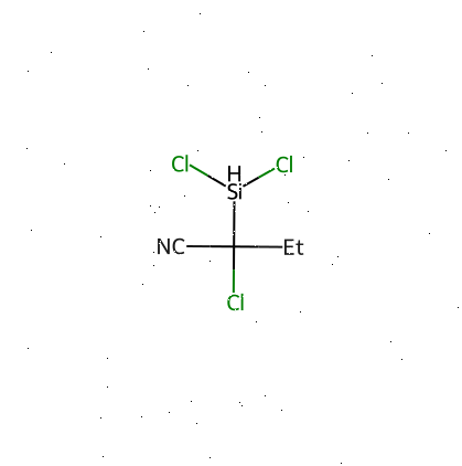 CCC(Cl)(C#N)[SiH](Cl)Cl